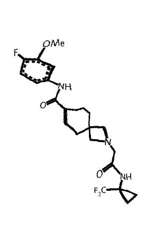 COc1cc(NC(=O)C2CCC3(CC2)CN(CC(=O)NC2(C(F)(F)F)CC2)C3)ccc1F